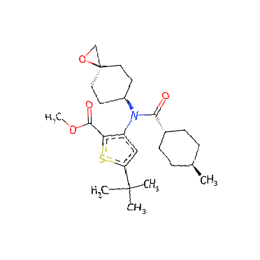 COC(=O)c1sc(C(C)(C)C)cc1N(C(=O)[C@H]1CC[C@H](C)CC1)[C@H]1CC[C@@]2(CC1)CO2